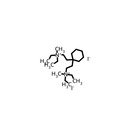 CC[N+](C)(CC)CCC1(CC[N+](C)(CC)CC)CCCCC1.[I-].[I-]